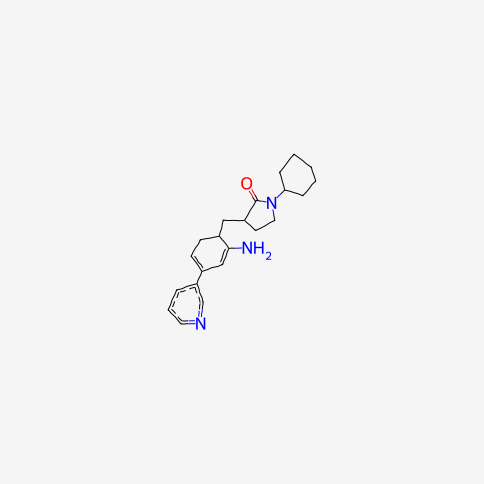 NC1=CC(c2cccnc2)=CCC1CC1CCN(C2CCCCC2)C1=O